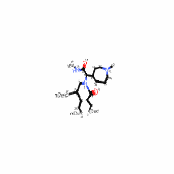 CCCCCCCCCCCCC(=O)N(CC(CCCCCCCCCC)CCCCCCCCCCCC)C(C(=O)NC(C)(C)C)C1CCCN(C)CC1